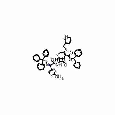 Nc1nc(/C(=N/OC(c2ccccc2)(c2ccccc2)c2ccccc2)C(=O)N[C@@H]2C(=O)N3C(C(=O)OC(c4ccccc4)c4ccccc4)=C(SCc4cccnn4)CS[C@H]23)cs1